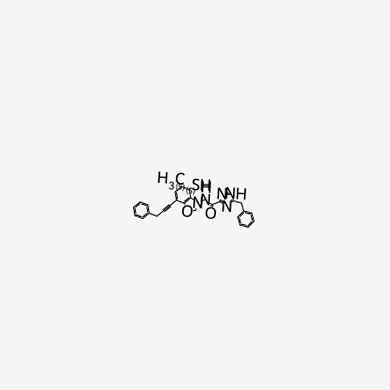 C[C@H]1C=C(C#CCc2ccccc2)C2=C([C@H]1S)N(NC(=O)c1n[nH]c(Cc3ccccc3)n1)CO2